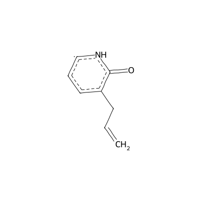 C=CCc1cc[c][nH]c1=O